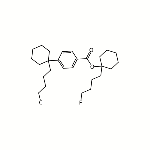 O=C(OC1(CCCCF)CCCCC1)c1ccc(C2(CCCCCl)CCCCC2)cc1